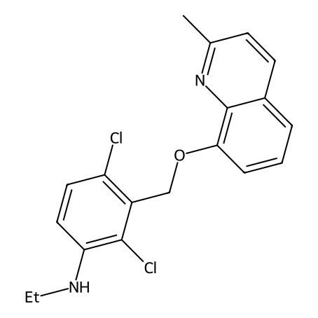 CCNc1ccc(Cl)c(COc2cccc3ccc(C)nc23)c1Cl